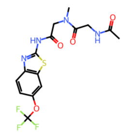 CC(=O)NCC(=O)N(C)CC(=O)Nc1nc2ccc(OC(F)(F)F)cc2s1